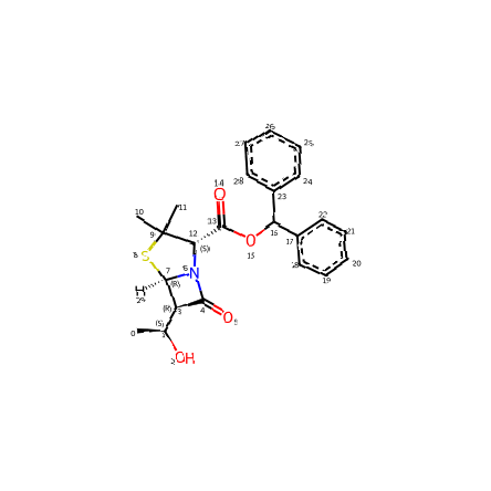 C[C@H](O)[C@@H]1C(=O)N2[C@@H]1SC(C)(C)[C@@H]2C(=O)OC(c1ccccc1)c1ccccc1